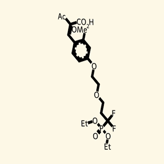 CCOP(=O)(OCC)C(F)(F)CCOCCOc1ccc(C=C(C(C)=O)C(=O)O)c(OC)c1